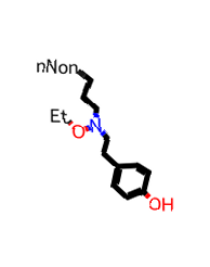 CCCCCCCCCCCCN(CCc1ccc(O)cc1)OCC